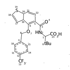 CC(C)(C)C(NC(=O)C1=C(OCc2ccc(C(F)(F)F)cc2)C2C=CSC2C=C1)C(=O)O